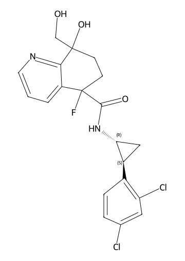 O=C(N[C@@H]1C[C@H]1c1ccc(Cl)cc1Cl)C1(F)CCC(O)(CO)c2ncccc21